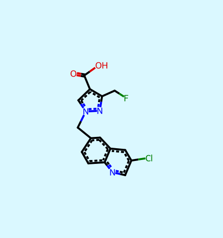 O=C(O)c1cn(Cc2ccc3ncc(Cl)cc3c2)nc1CF